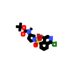 CN(C(=O)OC(C)(C)C)[C@@H]1CCN(S(=O)(=O)c2cccc3c(Cl)ncc(Br)c23)C1